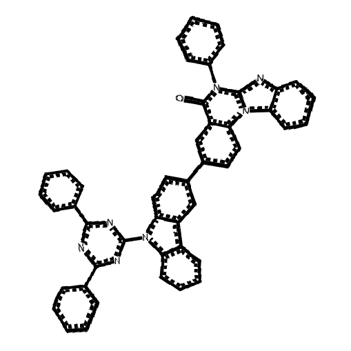 O=c1c2cc(-c3ccc4c(c3)c3ccccc3n4-c3nc(-c4ccccc4)nc(-c4ccccc4)n3)ccc2n2c3ccccc3nc2n1-c1ccccc1